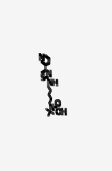 CC(C)(C)N(CCCCCNc1nc(-c2cccnc2)cs1)C(=O)O